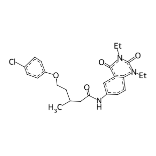 CCn1c(=O)c2cc(NC(=O)CC(C)CCOc3ccc(Cl)cc3)ccc2n(CC)c1=O